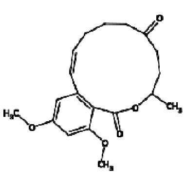 COc1cc2c(c(OC)c1)C(=O)OC(C)CCC(=O)CCCC=C2